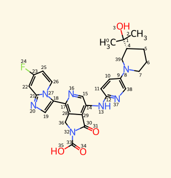 CC(C)(O)[C@@H]1CCCN(c2ccc(Nc3cnc(-c4cnc5cc(F)ccn45)c4c3C(=O)N(C(=O)O)C4)nc2)C1